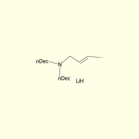 [CH2]C=CCN(CCCCCCCCCC)CCCCCCCCCC.[LiH]